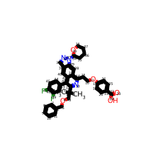 CC(C)(COCc1ccccc1)c1nc(CCOc2ccc(C(=O)O)cc2)c2cc3c(cnn3C3CCCCO3)cc2c1-c1ccc(F)c(F)c1